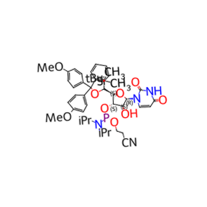 COc1ccc(C(OC([C@H]2O[C@@H](n3ccc(=O)[nH]c3=O)[C@@H](O)[C@@H]2OP(OCCC#N)N(C(C)C)C(C)C)[Si](C)(C)C(C)(C)C)(c2ccccc2)c2ccc(OC)cc2)cc1